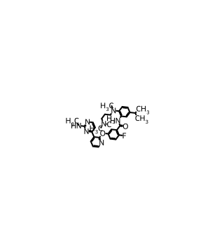 CNc1nccc(-c2cccnc2Oc2ccc(F)c(C(=O)Nc3cc(C(C)C)ccc3N(C)CCCN(C)C)c2)n1